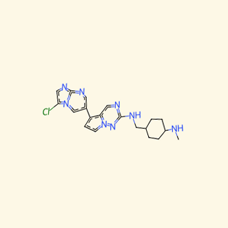 CNC1CCC(CNc2ncc3c(-c4cnc5ncc(Cl)n5c4)ccn3n2)CC1